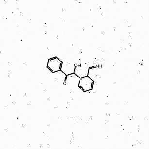 N=CC1C=CC=CN1C(O)C(=O)c1ccccc1